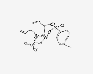 C=CCn1c([N+](=O)[O-])cnc1C(C=C)OS(=O)(=O)c1ccc(C)cc1